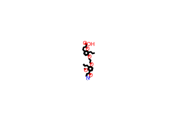 C=CCc1c(OCCCOc2ccc3c(c2CCC)OC(C(=O)O)CC3)ccc(C(=O)/C=C\N(C)C)c1OC